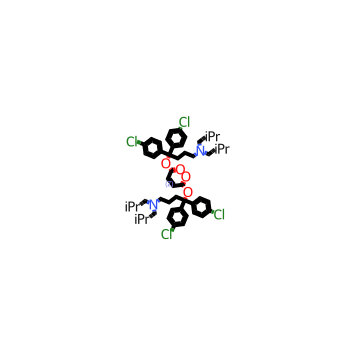 CC(C)CN(CCCC(OC(=O)/C=C\C(=O)OC(CCCN(CC(C)C)CC(C)C)(c1ccc(Cl)cc1)c1ccc(Cl)cc1)(c1ccc(Cl)cc1)c1ccc(Cl)cc1)CC(C)C